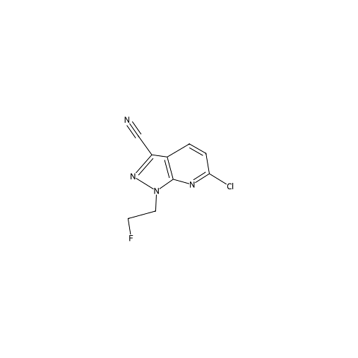 N#Cc1nn(CCF)c2nc(Cl)ccc12